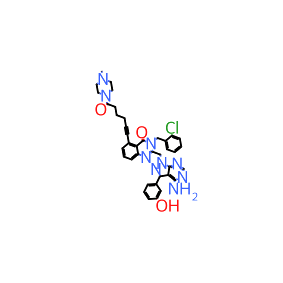 CN1CCN(C(=O)CCCC#Cc2cccc3nc(Cn4nc(-c5cccc(O)c5)c5c(N)ncnc54)n(Cc4ccccc4Cl)c(=O)c23)CC1